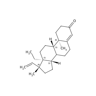 C=C[C@@]1(C)CC[C@H]2C3CCC4=CC(=O)CC[C@]4(C)[C@H]3CC[C@@]21CC